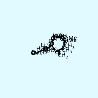 C=CCC1/C=C(\C)CC(C)CC(OC)C2OC(O)(C(=O)C(=O)N3CCCCC3C(=O)OC(C(C)=CC3CCC(O)(CC=CC=Cc4ccccc4)C(OC)C3)C(C)C(O)CC1=O)C(C)CC2OC